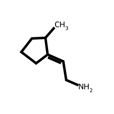 CC1CCC/C1=C\CN